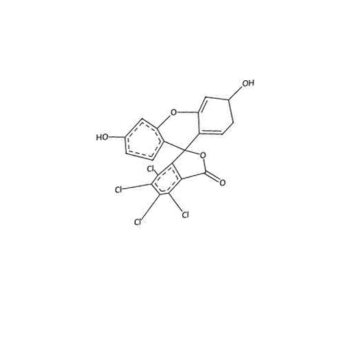 O=C1OC2(C3=CCC(O)C=C3Oc3cc(O)ccc32)c2c(Cl)c(Cl)c(Cl)c(Cl)c21